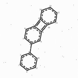 c1ccc(-c2ccc3c(c2)=c2ccccc2=3)cc1